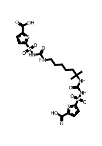 CC(C)(CCCCCNC(=O)NS(=O)(=O)c1ccc(C(=O)O)s1)NC(=O)NS(=O)(=O)c1ccc(C(=O)O)s1